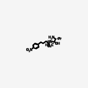 CC(C)[C@@H](N)[C@@](O)(NC(=O)CCCc1ccc([N+](=O)[O-])cc1)C(=O)O